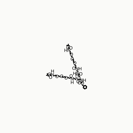 CC(C)(C)OC(=O)NCCOCCOCCOCCC(=O)NCCNC(=O)CC[C@H](NC(=O)OCc1ccccc1)C(=O)NCCNC(=O)CCOCCOCCOCCNC(=O)OC(C)(C)C